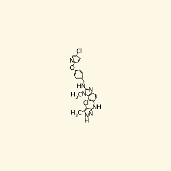 Cc1[nH]nc(Nc2ccc3nc(NCc4ccc(Oc5ccc(Cl)cn5)cc4)n(C)c3c2)c1Cl